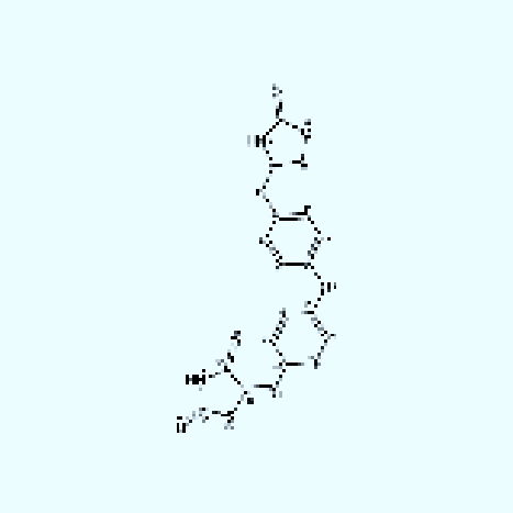 O=C1NC(Cc2ccc(Oc3ccc(C=C4SC(=O)NC4=O)cc3)cc2)CO1